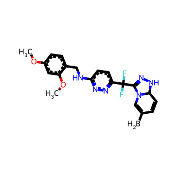 BC1=CN2C(C(F)(F)c3ccc(NCc4ccc(OC)cc4OC)nn3)=NNC2C=C1